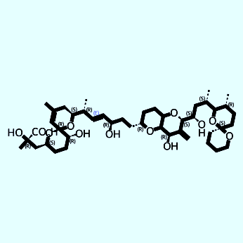 C=C1[C@@H](O)C2O[C@H](CC[C@@H](O)/C=C/[C@@H](C)[C@@H]3CC(C)=C[C@@]4(O[C@H](C[C@@](C)(O)C(=O)O)CC[C@H]4O)O3)CCC2O[C@@H]1[C@@H](O)C[C@H](C)C1O[C@@]2(CCCCO2)CC[C@H]1C